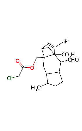 CC(C)C1=CC2CC3(C=O)C4CCC(C)C4CC2(COC(=O)CCl)C13C(=O)O